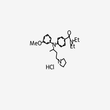 CCN(CC)C(=O)c1ccc(N(c2cccc(OC)c2)C(C)CCN2CCCC2)cc1.Cl